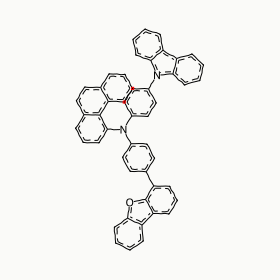 c1ccc2c(c1)ccc1cccc(N(c3ccc(-c4cccc5c4oc4ccccc45)cc3)c3ccc(-n4c5ccccc5c5ccccc54)cc3)c12